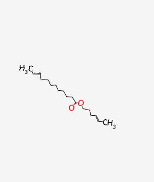 CC=CCCCCCCCCC(=O)OCCC/C=C/C